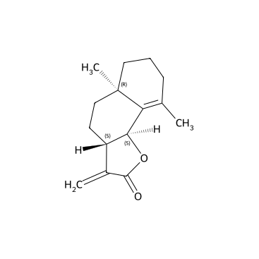 C=C1C(=O)O[C@@H]2C3=C(C)CCC[C@]3(C)CC[C@@H]12